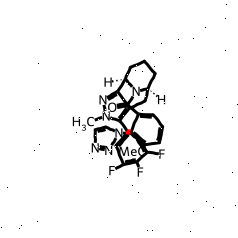 COc1cccc(C(=O)N2[C@H]3CCC[C@@H]2c2nn(C)c(-c4cc(F)c(F)c(F)c4)c2C3)c1-n1ccnn1